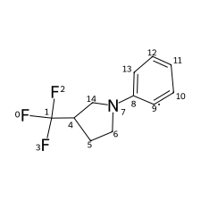 FC(F)(F)C1CCN(c2[c]cccc2)C1